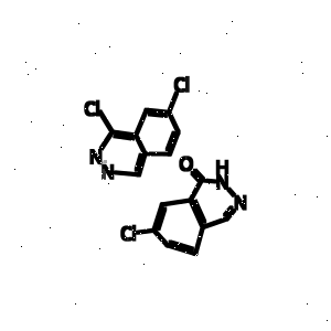 Clc1ccc2cnnc(Cl)c2c1.O=c1[nH]ncc2ccc(Cl)cc12